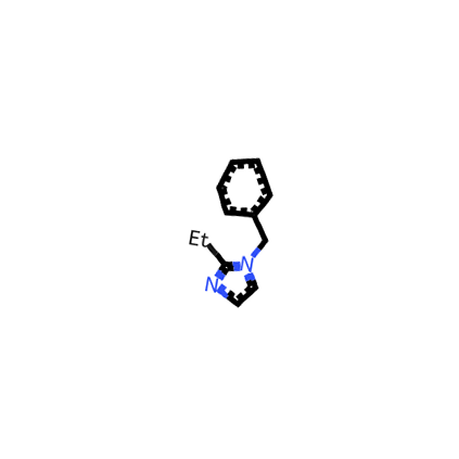 CCc1nccn1Cc1ccccc1